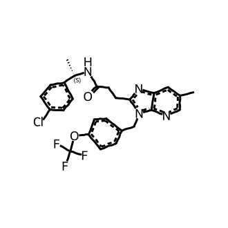 Cc1cnc2c(c1)nc(CCC(=O)N[C@@H](C)c1ccc(Cl)cc1)n2Cc1ccc(OC(F)(F)F)cc1